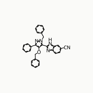 N#Cc1ccc2nc(-c3c(OCc4ccccc4)c(-c4ccccc4)nn3Cc3ccccc3)[nH]c2c1